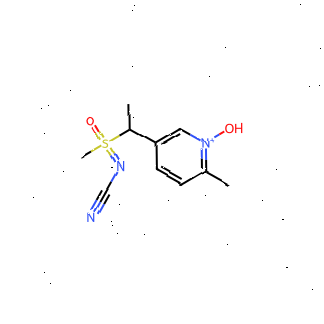 Cc1ccc(C(C)S(C)(=O)=NC#N)c[n+]1O